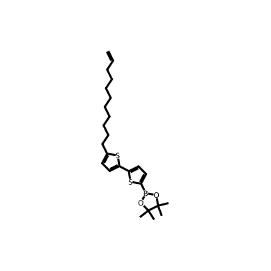 C=CCCCCCCCCCc1ccc(-c2ccc(B3OC(C)(C)C(C)(C)O3)s2)s1